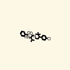 CC(C)[C@@H](NC(=O)c1ccccc1)C(=O)N1CCC(c2ccc(Cl)cc2)C(C)(C)C1